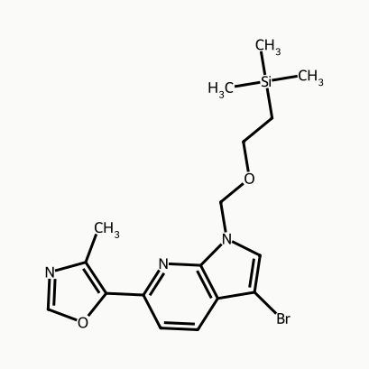 Cc1ncoc1-c1ccc2c(Br)cn(COCC[Si](C)(C)C)c2n1